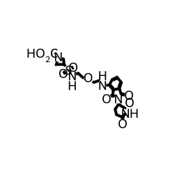 O=C1CCC(N2C(=O)c3cccc(NCCOCCNS(=O)(=O)C4CN(C(=O)O)C4)c3C2=O)C(=O)N1